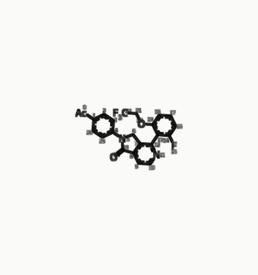 CC(=O)c1ccc(N2Cc3c(ccnc3-c3c(F)cccc3OCC(F)(F)F)C2=O)cc1